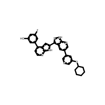 Oc1cc(F)cc(-c2ccnc3[nH]c(-c4n[nH]c5ncc(-c6cncc(OC7CCCCC7)c6)cc45)cc23)c1